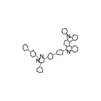 c1ccc(-c2ccc(-c3nc(-c4ccccc4)cc(-c4ccc(-c5ccc(-c6nc7ccccc7c7c6ccc6c7c7ccccc7n6-c6ccccc6)cc5)cc4)n3)cc2)cc1